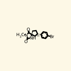 CN1C(=O)N[C@]2(CC[C@H](c3ccc(Br)cc3)C2)C1=O